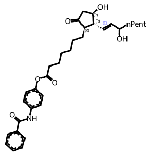 CCCCCC(O)/C=C/[C@H]1[C@H](O)CC(=O)[C@@H]1CCCCCCC(=O)Oc1ccc(NC(=O)c2ccccc2)cc1